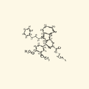 CCOC(=O)c1cc2c3ccccc3n(CCCc3ccccc3)c2c(-c2ccc(OC)c(OC)c2)n1